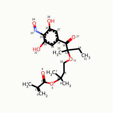 C=C(C)C(=O)OC(C)(C)CCOC(C)(CC)C(=O)c1cc(O)c(N=O)c(O)c1